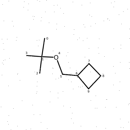 CC(C)(C)OC[C]1CCC1